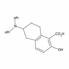 CCCN(CCC)C1CCc2c(ccc(O)c2C(=O)O)C1